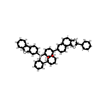 c1ccc(-c2nc3ccc4cc(-c5ccc(N(c6ccc7c(c6)oc6ccccc67)c6ccccc6-c6ccccc6)cc5)ccc4c3o2)cc1